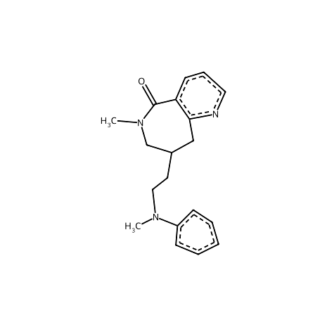 CN1CC(CCN(C)c2ccccc2)Cc2ncccc2C1=O